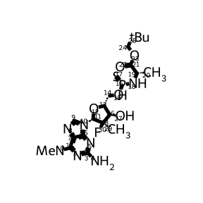 CNc1nc(N)nc2c1ncn2[C@@H]1O[C@H](CO[PH](=S)N[C@@H](C)C(=O)OCC(C)(C)C)[C@@H](O)[C@@]1(C)F